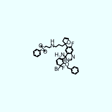 NC1(C2=CC=CC(F)(Br)C2OCc2ccccc2)NC=Nc2cc(F)c(C3(CCCNCCS(=O)(=O)c4ccccc4)CC=CO3)cc21